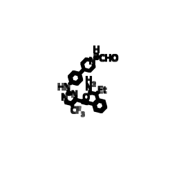 CCC(C(N)=O)c1ccccc1C#Cc1nc(Nc2ccc(C3CCN(BC=O)CC3)cc2)ncc1C(F)(F)F